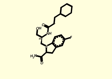 NC(=O)C1Cc2cc(F)ccc2N1C[C@@H](CO)NC(=O)[CH]CC1CCCCC1